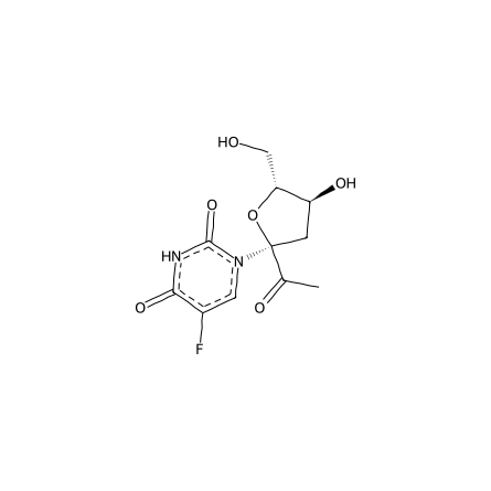 CC(=O)[C@]1(n2cc(F)c(=O)[nH]c2=O)C[C@H](O)[C@@H](CO)O1